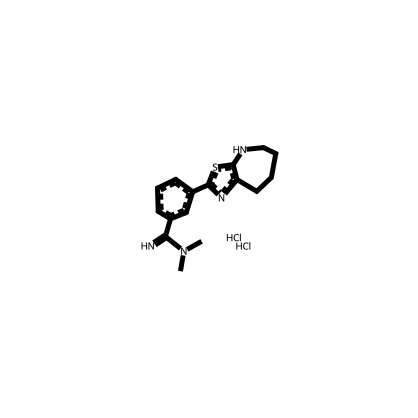 CN(C)C(=N)c1cccc(-c2nc3c(s2)NCCCC3)c1.Cl.Cl